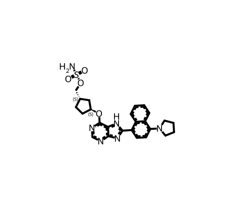 NS(=O)(=O)OC[C@H]1CC[C@H](Oc2ncnc3nc(-c4ccc(N5CCCC5)c5ccccc45)[nH]c23)C1